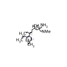 C=CC(=C\CC(C)CC(C)(CN)CNC)/C(/C=C\N=C)=C(\C=C/C)CC